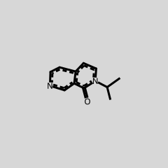 CC(C)n1ccc2ccncc2c1=O